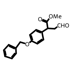 COC(=O)C(CC=O)c1ccc(OCc2ccccc2)cc1